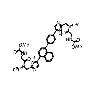 CCCN(Cc1ncc(-c2ccc(-c3ccc(-c4cnc(CN(CCC)C(=O)CNC(=O)OC)[nH]4)c4ccccc34)cc2)[nH]1)C(=O)CNC(=O)OC